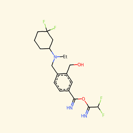 CCN(Cc1ccc(C(=N)OC(=N)C(F)F)cc1CO)C1CCCC(F)(F)C1